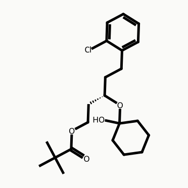 CC(C)(C)C(=O)OCC[C@H](CCc1ccccc1Cl)OC1(O)CCCCC1